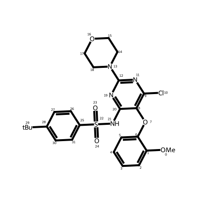 COc1ccccc1Oc1c(Cl)nc(N2CCOCC2)nc1NS(=O)(=O)c1ccc(C(C)(C)C)cc1